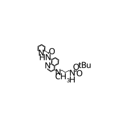 CN(CCCNC(=O)OC(C)(C)C)c1ccnc2c(NC(=O)c3ccccn3)cccc12